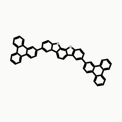 C1=CC2Oc3c(ccc4c3oc3ccc(-c5ccc6c7ccccc7c7ccccc7c6c5)cc34)C2C=C1c1ccc2c3ccccc3c3ccccc3c2c1